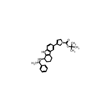 C[C@@H](NC1CCCc2c1[nH]c1ccc(C3=CCN(C(=O)OC(C)(C)C)C3)cc21)c1ccccc1